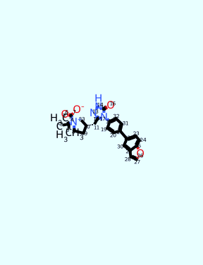 CC(C)(C)[N+]1(C(=O)[O-])CC[C@@H](Cc2n[nH]c(=O)n2-c2ccc(-c3ccc4occc4c3)cc2)C1